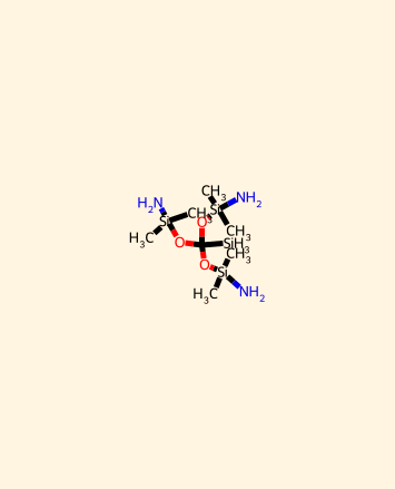 C[Si](C)(N)OC([SiH3])(O[Si](C)(C)N)O[Si](C)(C)N